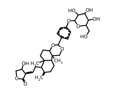 C=C1CCC2C3(C)COC(c4ccc(OC5OC(CO)C(O)C(O)C5O)cc4)OC3CCC2(C)C1C/C=C1/C(=O)OCC1O